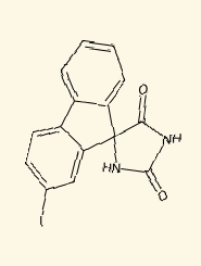 O=C1NC(=O)C2(N1)c1ccccc1-c1ccc(I)cc12